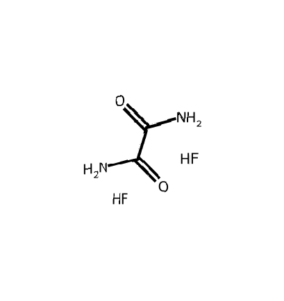 F.F.NC(=O)C(N)=O